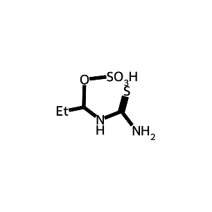 CCC(NC(N)=S)OS(=O)(=O)O